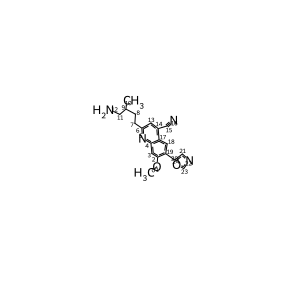 COc1cc2nc(CCC(C)CN)cc(C#N)c2cc1-c1cnco1